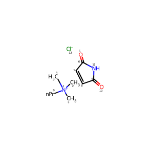 CCC[N+](C)(C)C.O=C1C=CC(=O)N1.[Cl-]